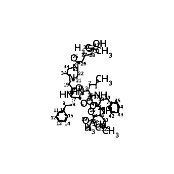 CCC[C@H](NC(=O)[C@H](CCc1ccccc1)NC(=O)CN1CCN(C(=O)CCC[Si](C)(C)O)CC1)C(=O)N[C@@H](Cc1ccccc1)C(=O)NC(CC(C)C)C(=O)[C@@]1(C)CO1